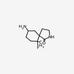 CC1(F)CCC(N)CC12CCNC2=O